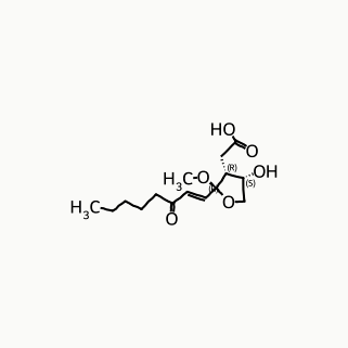 CCCCCC(=O)C=C[C@@]1(OC)OC[C@@H](O)[C@H]1CC(=O)O